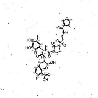 O=C(NCCS(=O)(=O)N1CCN(C(=O)NC(C(=O)NC2Cc3ccc(F)c(C(=O)O)c3OB2O)c2cc(F)c(O)c(O)c2Cl)C1=O)c1nccs1